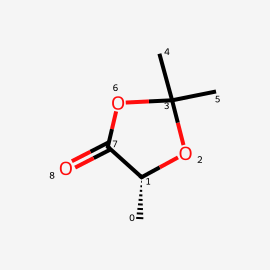 C[C@H]1OC(C)(C)OC1=O